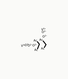 CC(=O)CC(C)=O.CC(=O)CC(C)=O.[O-2].[O-2].[O-2].[O-2].[O-2].[V+5].[V+5]